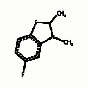 CC1Sc2ccc(F)cc2N1C